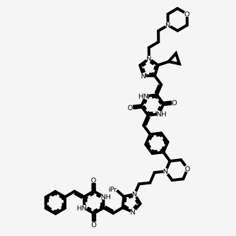 CC(C)c1c(/C=c2\[nH]c(=O)/c(=C/c3ccccc3)[nH]c2=O)ncn1CCCN1CCOCC1c1ccc(/C=c2\[nH]c(=O)/c(=C/c3ncn(CCCN4CCOCC4)c3C3CC3)[nH]c2=O)cc1